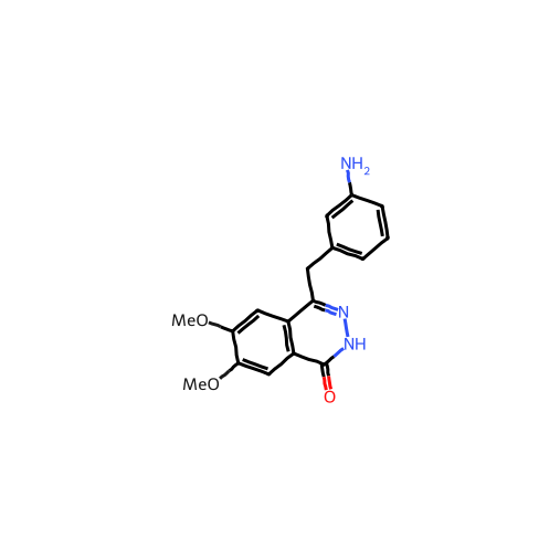 COc1cc2c(Cc3cccc(N)c3)n[nH]c(=O)c2cc1OC